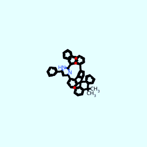 CC1(C)c2ccccc2C2(c3ccc(-c4cccc(-c5ccccc5)c4)cc3-c3c(C4=NC(c5ccccc5)NC(c5ccccc5)=C4)cccc32)c2ccccc21